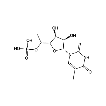 C=C1NC(=O)C(I)=CN1[C@@H]1O[C@H](C(C)OP(=O)(O)O)[C@@H](O)[C@H]1O